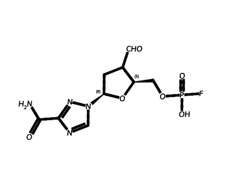 NC(=O)c1ncn([C@H]2CC(C=O)[C@@H](COP(=O)(O)F)O2)n1